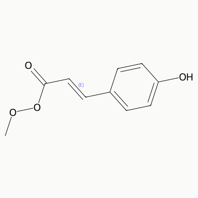 COOC(=O)/C=C/c1ccc(O)cc1